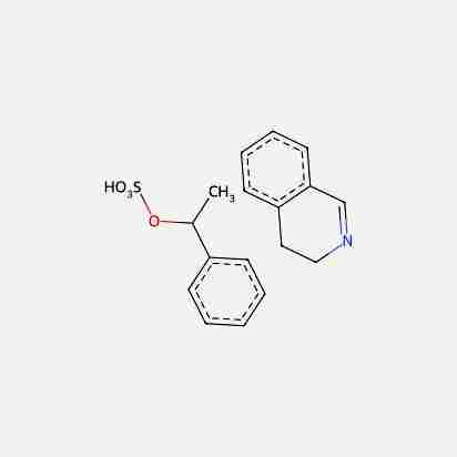 C1=NCCc2ccccc21.CC(OS(=O)(=O)O)c1ccccc1